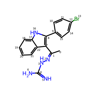 C/C(=N/NC(=N)N)c1c(-c2ccc(Br)cc2)[nH]c2ccccc12